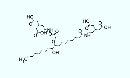 CCCCCCCCC(O)C(CCCCCCCC(=O)NCCC(CC(=O)O)CC(=O)O)OCC(=O)ONCCC(CC(=O)O)CC(=O)O